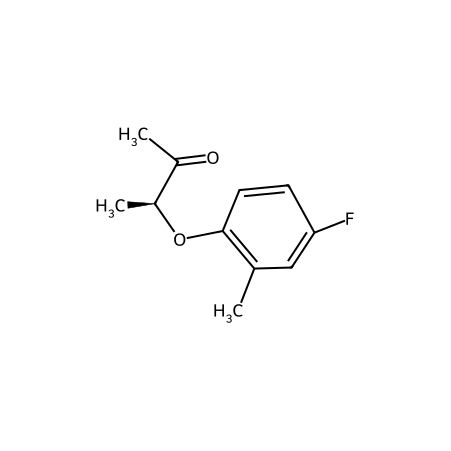 CC(=O)[C@H](C)Oc1ccc(F)cc1C